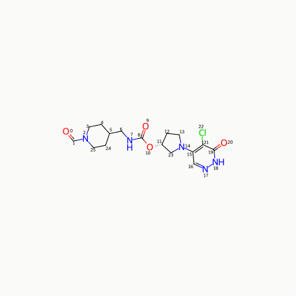 O=CN1CCC(CNC(=O)O[C@@H]2CCN(c3cn[nH]c(=O)c3Cl)C2)CC1